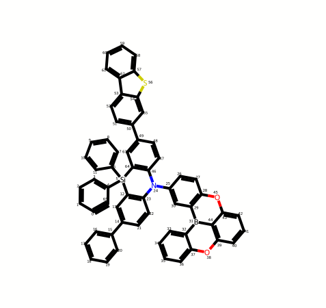 c1cccc([Si]2(c3ccccc3)c3cc(-c4ccccc4)ccc3N(c3ccc4c(c3)B3c5ccccc5Oc5cccc(c53)O4)c3ccc(-c4ccc5c(c4)sc4ccccc45)cc32)c#1